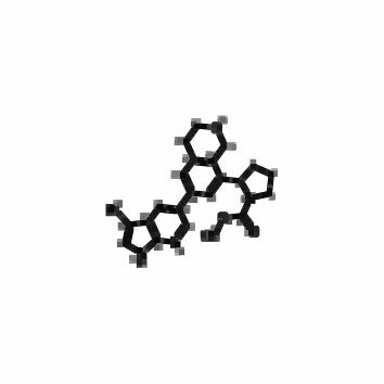 CC(C)(C)OC(=O)N1CCCC1c1cc(-c2cnc3[nH]cc(Br)c3c2)cc2c1COCC2